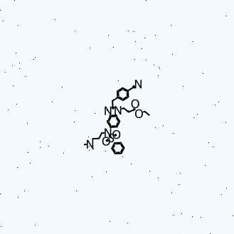 CCOC(=O)CCn1c(Cc2ccc(C#N)cc2)nc2cc(N(CCCN(C)C)S(=O)(=O)c3ccccc3)ccc21